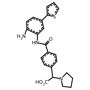 Nc1ccc(-c2cccs2)cc1NC(=O)c1ccc(C(C(=O)O)N2CCCC2)cc1